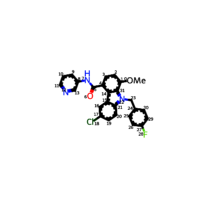 COc1ccc(C(=O)Nc2cccnc2)c2c3cc(Cl)ccc3n(Cc3ccc(F)cc3)c12